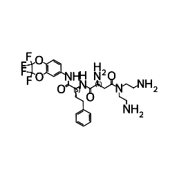 NCCN(CCN)C(=O)C[C@H](N)C(=O)N[C@@H](CCc1ccccc1)C(=O)Nc1ccc2c(c1)OC(F)(F)C(F)(F)O2